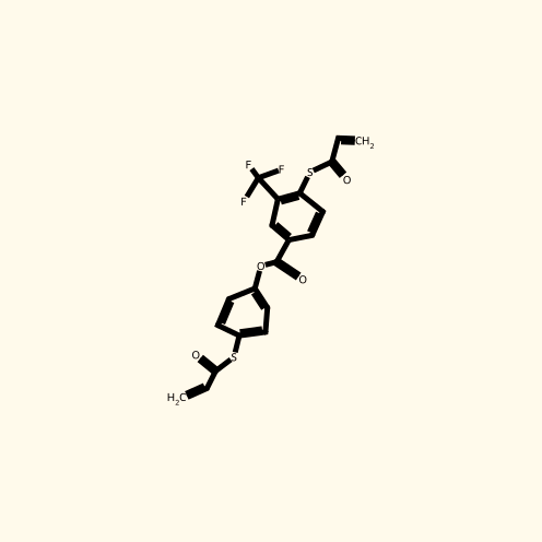 C=CC(=O)Sc1ccc(OC(=O)c2ccc(SC(=O)C=C)c(C(F)(F)F)c2)cc1